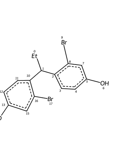 CCC(c1ccc(O)cc1Br)c1ccc(O)cc1Br